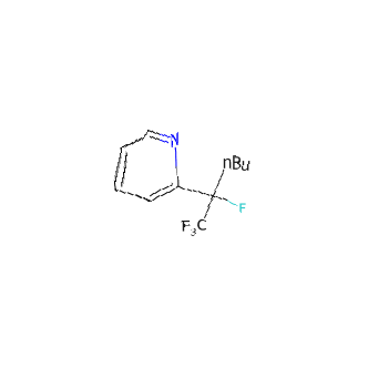 CCCCC(F)(c1ccccn1)C(F)(F)F